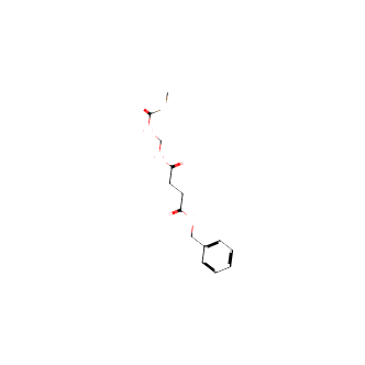 CSC(=O)OCOC(=O)CCC(=O)OCc1ccccc1